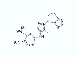 CCNc1nc(Nc2cnn(C3CCc4ncsc43)c2C)ncc1C(F)(F)F